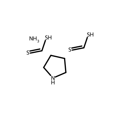 C1CCNC1.N.S=CS.S=CS